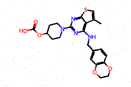 Cc1csc2nc(N3CCC(OC(=O)O)CC3)nc(NCc3ccc4c(c3)OCCO4)c12